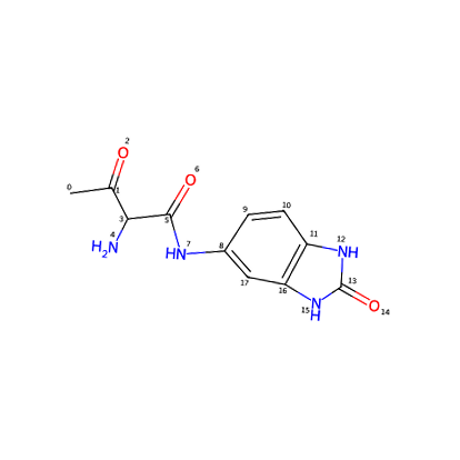 CC(=O)C(N)C(=O)Nc1ccc2[nH]c(=O)[nH]c2c1